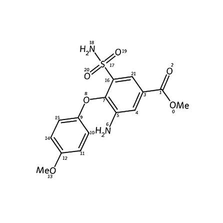 COC(=O)c1cc(N)c(Oc2ccc(OC)cc2)c(S(N)(=O)=O)c1